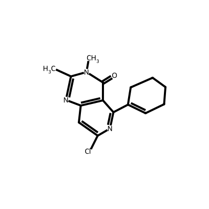 Cc1nc2cc(Cl)nc(C3=CCCCC3)c2c(=O)n1C